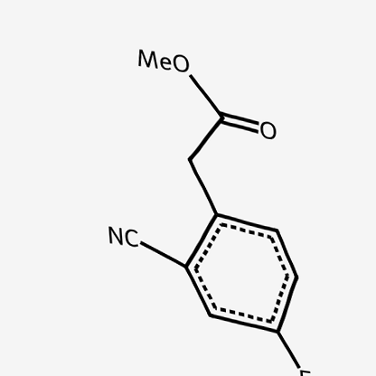 COC(=O)Cc1ccc(F)cc1C#N